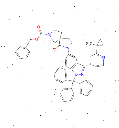 O=C(OCc1ccccc1)N1CCC2(CCN(c3ccc4c(c3)c(-c3ccnc(C5(C(F)(F)F)CC5)c3)nn4C(c3ccccc3)(c3ccccc3)c3ccccc3)C2=O)C1